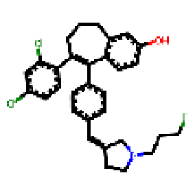 Oc1ccc2c(c1)CCCC(c1ccc(Cl)cc1Cl)=C2c1ccc(C=C2CCN(CCCF)C2)cc1